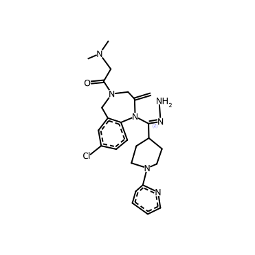 C=C1CN(C(=O)CN(C)C)Cc2cc(Cl)ccc2N1/C(=N\N)C1CCN(c2ccccn2)CC1